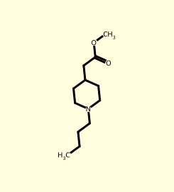 CCCCN1CCC(CC(=O)OC)CC1